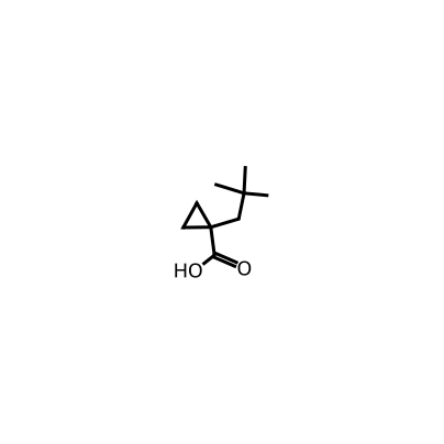 CC(C)(C)CC1(C(=O)O)CC1